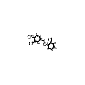 Clc1ccc(COc2cc[c]cc2Cl)cc1Cl